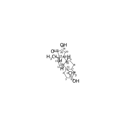 C[C@]12CC[C@@H](O)CC1CC[C@@H]1[C@@H]2CC[C@]2(C)C(=O)[C@H](O)C[C@@H]12